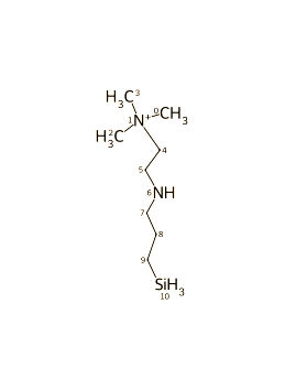 C[N+](C)(C)CCNCCC[SiH3]